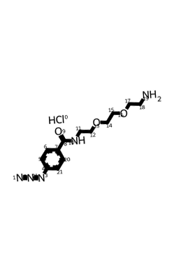 Cl.[N-]=[N+]=Nc1ccc(C(=O)NCCOCCOCCN)cc1